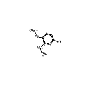 O=CNc1ccc(Cl)nc1NC=O